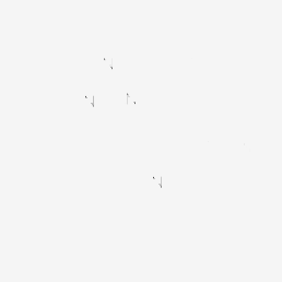 c1ccc(-c2nc(-c3ccccc3)nc(-c3cc(-n4c5ccccc5c5cc6sc7ccccc7c6cc54)c4c5ccccc5c5ccccc5c4c3)n2)cc1